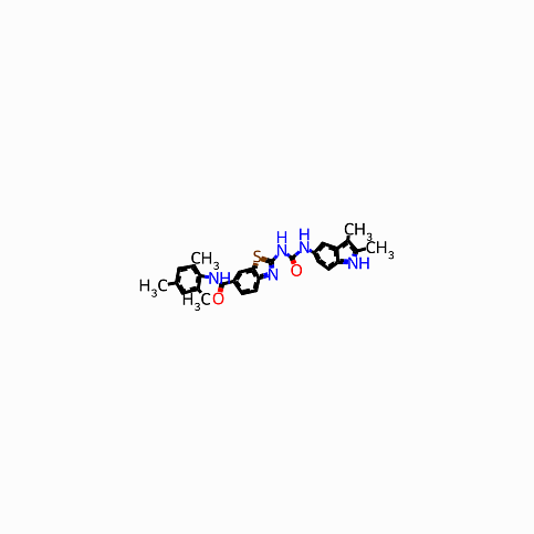 Cc1cc(C)c(NC(=O)c2ccc3nc(NC(=O)Nc4ccc5[nH]c(C)c(C)c5c4)sc3c2)c(C)c1